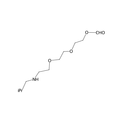 CC(C)CNCCOCCOCCOC=O